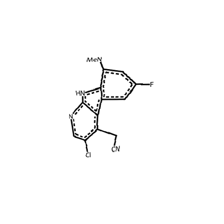 CNc1cc(F)cc2c1[nH]c1ncc(Cl)c(CC#N)c12